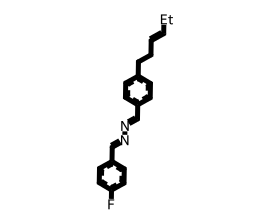 CCC=CCCc1ccc(C=NN=Cc2ccc(F)cc2)cc1